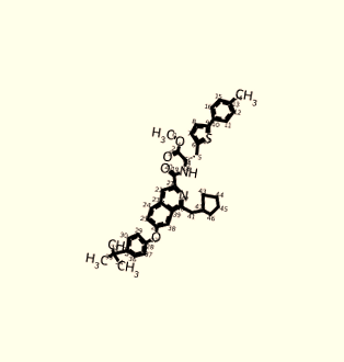 COC(=O)[C@H](Cc1ccc(-c2ccc(C)cc2)s1)NC(=O)c1cc2ccc(Oc3ccc(C(C)(C)C)cc3)cc2c(CC2CCCC2)n1